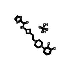 O=C(NC1CC(CCN2CCN(c3cccc(Cl)c3Cl)CC2)C1)c1ncco1.O=S(=O)(O)O